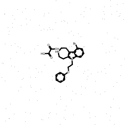 Brc1cccc2c1c1c(n2CCOc2ccccc2)CCNCC1.O=C(O)C(=O)O